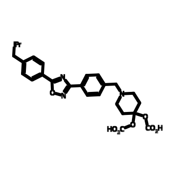 CC(C)Cc1ccc(-c2nc(-c3ccc(CN4CCC(OC(=O)O)(OC(=O)O)CC4)cc3)no2)cc1